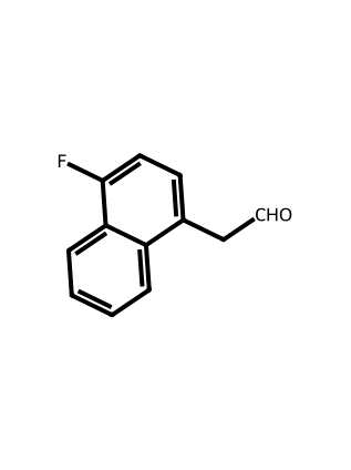 O=CCc1ccc(F)c2ccccc12